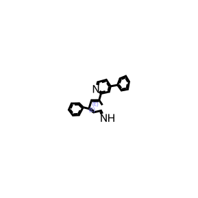 C/C(=C\C(=C/C=N)c1ccccc1)c1cc(-c2ccccc2)ccn1